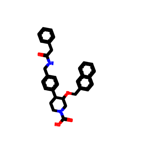 O=C(Cc1ccccc1)NCc1ccc(C2CCN(C(=O)O)CC2OCc2ccc3ccccc3c2)cc1